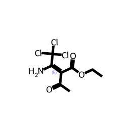 CCOC(=O)/C(C(C)=O)=C(/N)C(Cl)(Cl)Cl